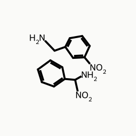 NC(c1ccccc1)[N+](=O)[O-].NCc1cccc([N+](=O)[O-])c1